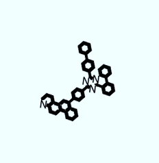 c1ccc(-c2ccc(-c3nc(-c4ccc(-c5cc6c7cccnc7ccc6c6ccccc56)cc4)nc(-c4ccccc4-c4ccccc4)n3)cc2)cc1